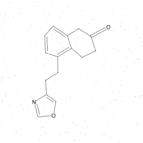 O=C1CCc2c(CCc3cocn3)cccc2C1